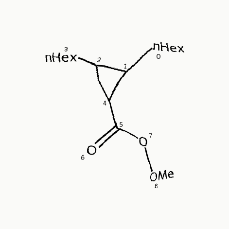 CCCCCCC1C(CCCCCC)C1C(=O)OOC